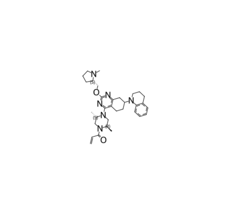 C=CC(=O)N1C[C@H](C)N(c2nc(OC[C@@H]3CCCN3C)nc3c2CCC(N2CCCc4ccccc42)C3)C[C@H]1C